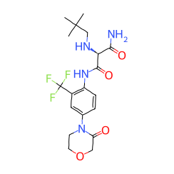 CC(C)(C)CN[C@@H](C(N)=O)C(=O)Nc1ccc(N2CCOCC2=O)cc1C(F)(F)F